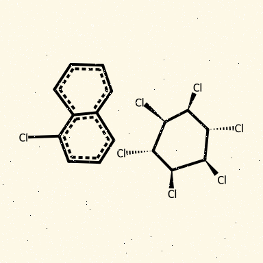 Cl[C@H]1[C@H](Cl)[C@@H](Cl)[C@@H](Cl)[C@H](Cl)[C@H]1Cl.Clc1cccc2ccccc12